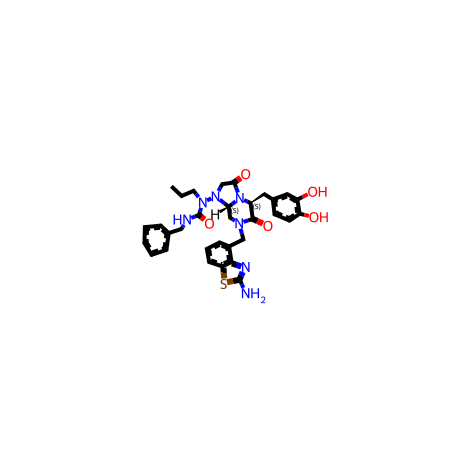 CCCN(C(=O)NCc1ccccc1)N1CC(=O)N2[C@@H](Cc3ccc(O)c(O)c3)C(=O)N(Cc3cccc4sc(N)nc34)C[C@@H]21